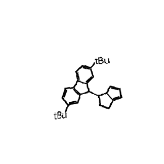 CC(C)(C)c1ccc2c(c1)C(C1CCC3=CC=CC31)c1cc(C(C)(C)C)ccc1-2